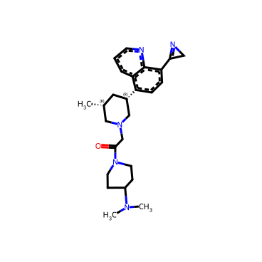 C[C@@H]1C[C@H](c2ccc(C3=NC3)c3ncccc23)CN(CC(=O)N2CCC(N(C)C)CC2)C1